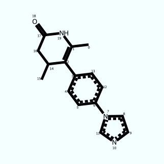 CC1=C(c2ccc(-n3ccnc3)cc2)C(C)CC(=O)N1